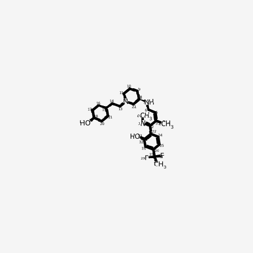 C/N=C(\C(C)=C/CN[C@@H]1CCCN(CCC2CCC(O)CC2)C1)c1ccc(C(C)(F)F)cc1O